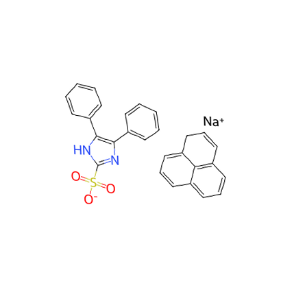 C1=Cc2cccc3cccc(c23)C1.O=S(=O)([O-])c1nc(-c2ccccc2)c(-c2ccccc2)[nH]1.[Na+]